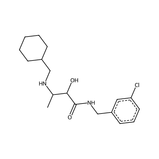 CC(NCC1CCCCC1)C(O)C(=O)NCc1cccc(Cl)c1